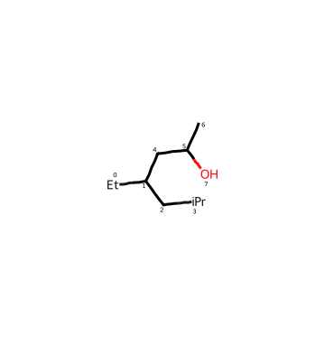 CCC(CC(C)C)CC(C)O